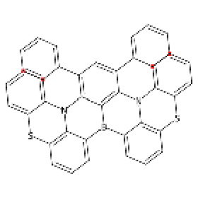 C1=CCCC(c2cc(-c3ccccc3)c3c4c2N2c5ccccc5Sc5cccc(c52)B4c2cccc4c2N3c2ccccc2S4)=C1